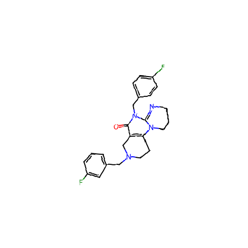 O=C1C2=C(CCN(Cc3cccc(F)c3)C2)N2CCCN=C2N1Cc1ccc(F)cc1